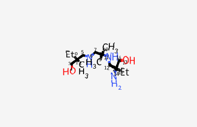 CCC(C)(CO)CNCC(C)(C)NCC(N)(CC)CO